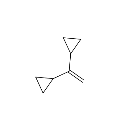 C=C(C1CC1)C1CC1